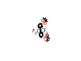 CC1(C)OB(c2cccc(C(c3cccc(B4OC(C)(C)C(C)(C)O4)c3)(C(F)(F)F)C(F)(F)F)c2)OC1(C)C